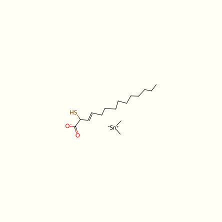 CCCCCCCCCCC=CC(S)C(=O)[O-].[CH3][Sn+]([CH3])[CH3]